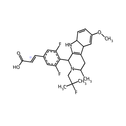 COC1=CC2C3=C(NC2C=C1)C(c1c(F)cc(/C=C/C(=O)O)cc1F)N(CC(C)(C)F)C(C)C3